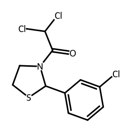 O=C(C(Cl)Cl)N1CCSC1c1cccc(Cl)c1